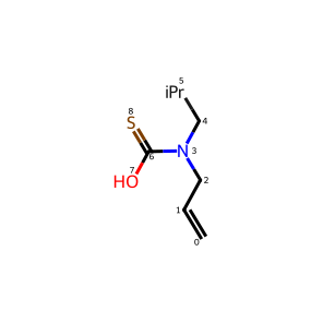 C=CCN(CC(C)C)C(O)=S